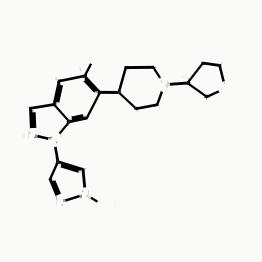 Cn1cc(-n2ncc3cc(Cl)c(C4CCN(C5CCOC5)CC4)cc32)cn1